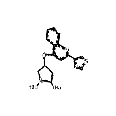 CC(C)(C)C1CC(Oc2cc(-c3cscn3)nc3ccccc23)CN1C(C)(C)C